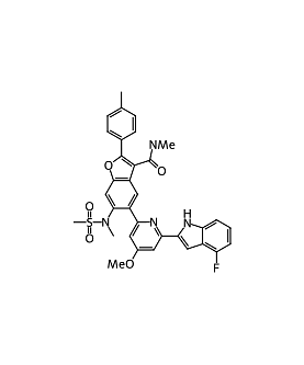 CNC(=O)c1c(-c2ccc(C)cc2)oc2cc(N(C)S(C)(=O)=O)c(-c3cc(OC)cc(-c4cc5c(F)cccc5[nH]4)n3)cc12